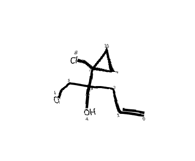 C=CCC(O)(CCl)C1(Cl)CC1